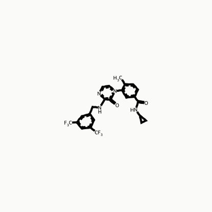 Cc1ccc(C(=O)NC2CC2)cc1-n1ccnc(NCc2cc(C(F)(F)F)cc(C(F)(F)F)c2)c1=O